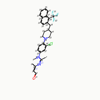 CC(=C/C=O)/N=C(/C)N(C)c1ccc(N2CCC(Cc3ccc4ccccc4c3C(F)(F)F)CC2)c(Cl)c1